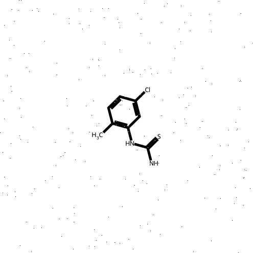 Cc1ccc(Cl)cc1NC([NH])=S